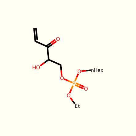 C=CC(=O)C(O)COP(=O)(OCC)OCCCCCC